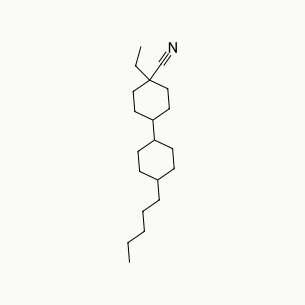 CCCCCC1CCC(C2CCC(C#N)(CC)CC2)CC1